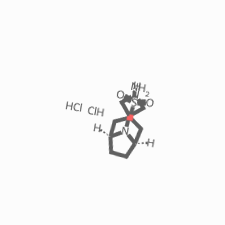 Cl.Cl.NS(=O)(=O)C1C[C@H]2CC[C@@H](C1)N2C1CNC1